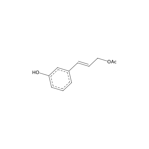 CC(=O)OCC=Cc1cccc(O)c1